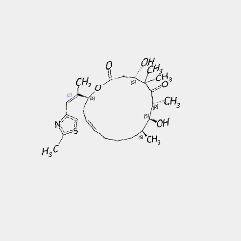 C/C(=C/c1csc(C)n1)[C@@H]1CC=CCCC[C@H](C)[C@H](O)[C@@H](C)C(=O)C(C)(C)[C@@H](O)CC(=O)O1